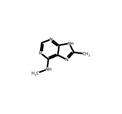 CNc1ncnc2[nH]c(C)nc12